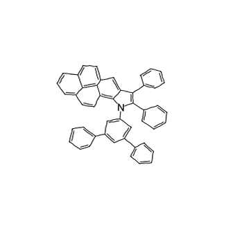 c1ccc(-c2cc(-c3ccccc3)cc(-n3c(-c4ccccc4)c(-c4ccccc4)c4cc5ccc6cccc7ccc(c5c67)c43)c2)cc1